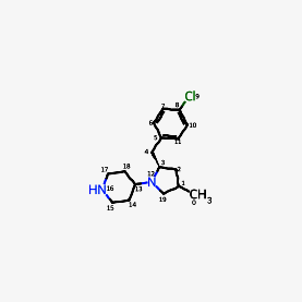 CC1C[C@H](Cc2ccc(Cl)cc2)N(C2CCNCC2)C1